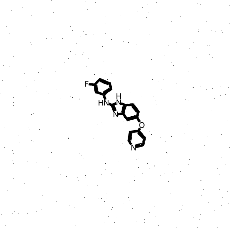 Fc1cccc(Nc2nc3cc(Oc4ccncc4)ccc3[nH]2)c1